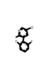 Fc1cccc(F)c1-c1cc(Cl)cnc1I